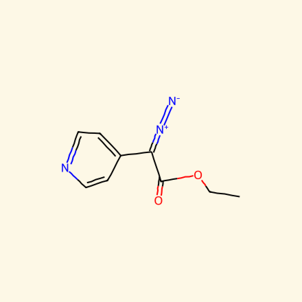 CCOC(=O)C(=[N+]=[N-])c1ccncc1